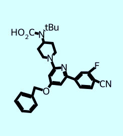 CC(C)(C)N(C(=O)O)C1CCN(c2cc(OCc3ccccc3)cc(-c3ccc(C#N)c(F)c3)n2)CC1